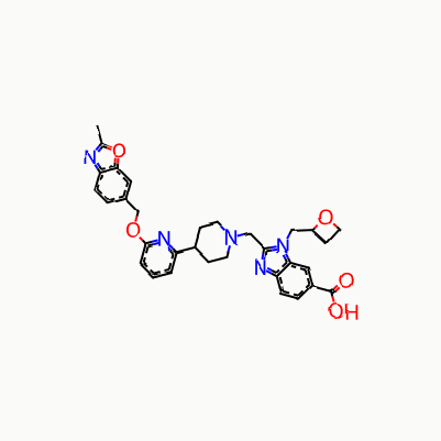 Cc1nc2ccc(COc3cccc(C4CCN(Cc5nc6ccc(C(=O)O)cc6n5CC5CCO5)CC4)n3)cc2o1